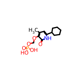 Cc1cc(C2CCCCC2)[nH]c(=O)c1OCOP(=O)(O)O